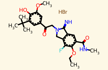 Br.CCOc1c(C(=O)NC)cc2c(c1F)CN(CC(=O)c1cc(OC)c(O)c(C(C)(C)C)c1)C2=N